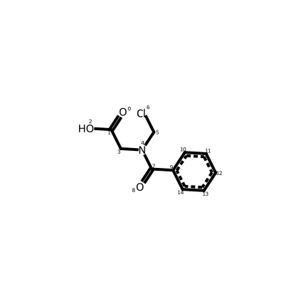 O=C(O)CN(CCl)C(=O)c1ccccc1